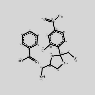 O=C(O)c1ccccc1.O=[N+]([O-])c1ccc(C2(CBr)OCC(CO)O2)c(Cl)c1